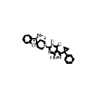 N[C@@H]1c2ccccc2OC12CCN(c1nc3[nH]nc(C4(c5ccccc5)CC4)c3c(=O)[nH]1)CC2